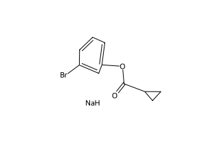 O=C(Oc1cccc(Br)c1)C1CC1.[NaH]